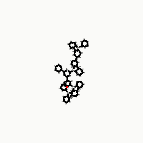 c1ccc(-c2cc(-c3cccc(-n4c5ccccc5c5ccc6c7ccccc7n(-c7ccccc7)c6c54)c3)nc(-n3c4ccccc4c4cc(-c5ccc6c(c5)c5ccccc5n6-c5ccccc5)ccc43)n2)cc1